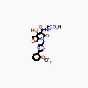 O=C(O)CNC(=O)c1c(O)c2c(n(Cc3cnc(-c4ccccc4OC(F)(F)F)cn3)c1=O)COC2